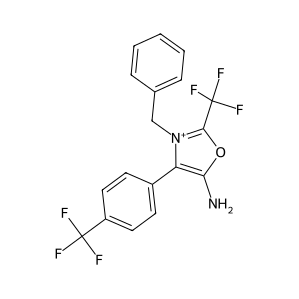 Nc1oc(C(F)(F)F)[n+](Cc2ccccc2)c1-c1ccc(C(F)(F)F)cc1